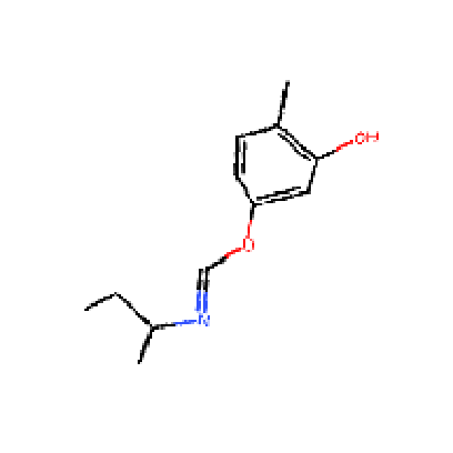 CCC(C)/N=C/Oc1ccc(C)c(O)c1